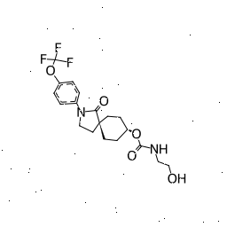 O=C(NCCO)O[C@H]1CC[C@]2(CCN(c3ccc(OC(F)(F)F)cc3)C2=O)CC1